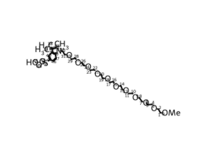 COCCOCCOCCOCCOCCOCCOCCOCCOCCOCCOCC[N+]1=C(C)C(C)(C)c2cc(SOOO)ccc21